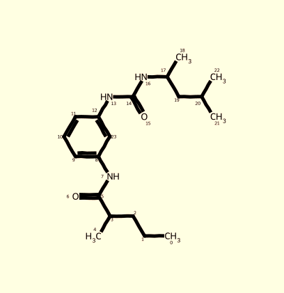 CCCC(C)C(=O)Nc1cccc(NC(=O)NC(C)CC(C)C)c1